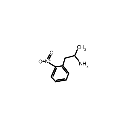 CC(N)Cc1ccccc1[N+](=O)[O-]